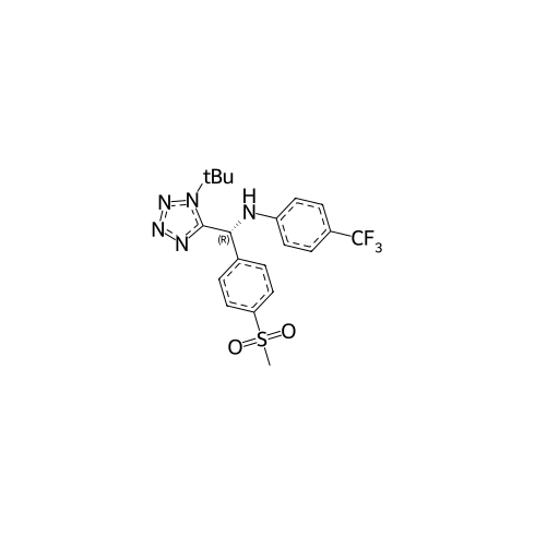 CC(C)(C)n1nnnc1[C@H](Nc1ccc(C(F)(F)F)cc1)c1ccc(S(C)(=O)=O)cc1